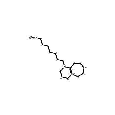 CCCCCCCCCCCCCCCCCN1CCC[N+]2=C1CCCCC2